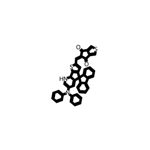 O=C1C(=Cc2cc3c(s2)C2NC=C(N(c4ccccc4)c4ccccc4)C=C2C32c3ccccc3-c3ccccc32)C(=O)c2cscc21